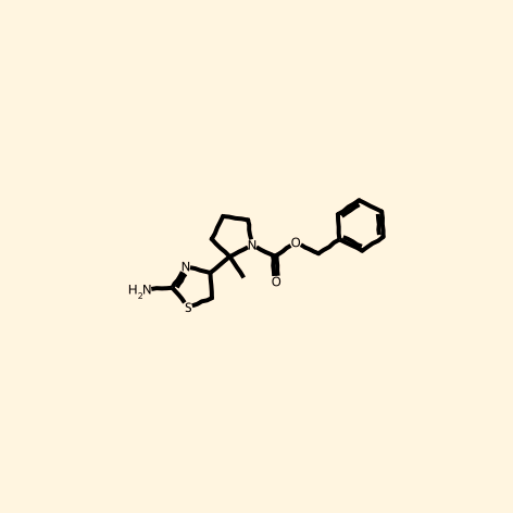 CC1(C2CSC(N)=N2)CCCN1C(=O)OCc1ccccc1